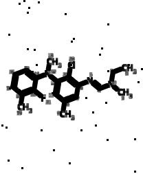 CCN(C)C=Nc1cc(C)cc(N(C)c2cccc(C)c2F)c1Cl